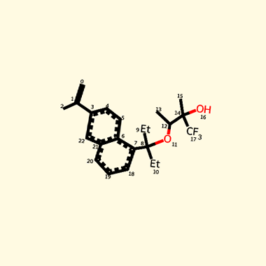 C=C(C)c1ccc2c(C(CC)(CC)OC(C)C(C)(O)C(F)(F)F)cccc2c1